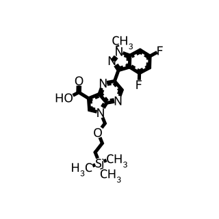 Cn1nc(-c2cnc3c(n2)c(C(=O)O)cn3COCC[Si](C)(C)C)c2c(F)cc(F)cc21